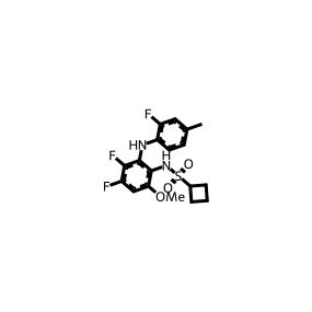 COc1cc(F)c(F)c(Nc2ccc(C)cc2F)c1NS(=O)(=O)C1CCC1